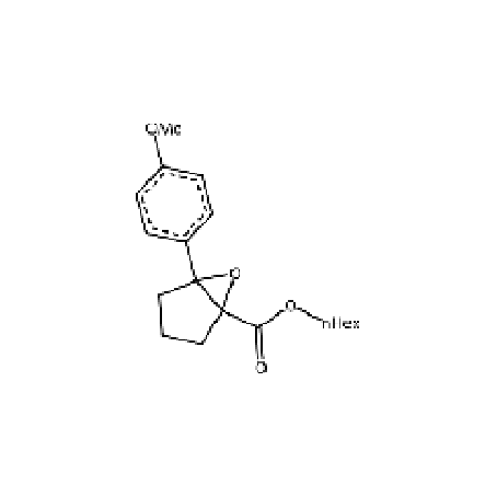 CCCCCCOC(=O)C12CCCC1(c1ccc(OC)cc1)O2